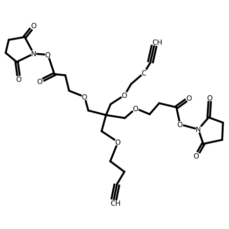 C#CCCOCC(COCCC#C)(COCCC(=O)ON1C(=O)CCC1=O)COCCC(=O)ON1C(=O)CCC1=O